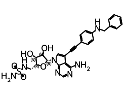 Nc1ncnc2c1c(C#Cc1ccc(NCc3ccccc3)cc1)cn2[C@@H]1O[C@H](CNS(N)(=O)=O)[C@@H](O)[C@H]1O